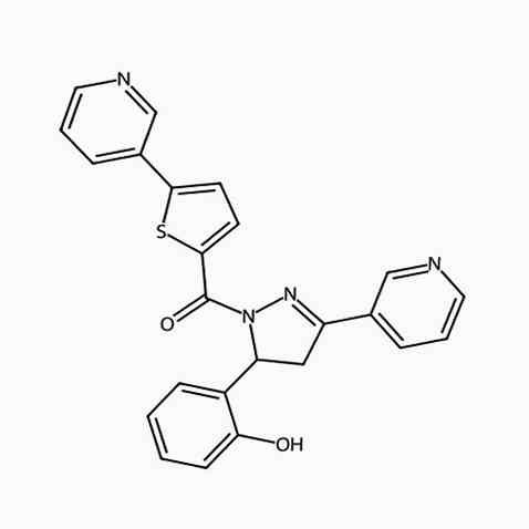 O=C(c1ccc(-c2cccnc2)s1)N1N=C(c2cccnc2)CC1c1ccccc1O